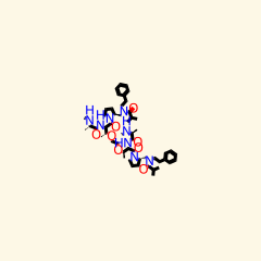 CN[C@@H](C)C(=O)N[C@H](C(=O)N1CCC[C@H]1CN(CCc1ccccc1)C(=O)C(C)C)[C@@H](C)OCCO[C@H](C)[C@H](NC(=O)[C@H](C)NC)C(=O)N1CCC[C@H]1CN(CCc1ccccc1)C(=O)C(C)C